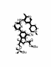 Cc1ncc(C2CCN(C)CC2)cc1Nc1nccc(-c2cc(C#N)c3c(c2)[C@@](C)(CO[Si](C)(C)C(C)(C)C)CN3C(=O)OC(C)(C)C)n1